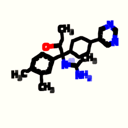 CCC(=O)C(/N=C(\C)N)(c1ccc(C)c(C)c1)C1CCC(c2cncnc2)CC1